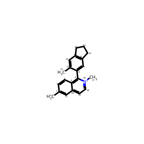 Cc1ccc2c(-c3cc4c(cc3C)CCC4)[n+](C)ccc2c1